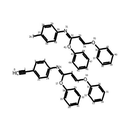 C#Cc1ccc(N=C(C=COc2ccccc2)Oc2ccccc2)cc1.Ic1ccc(N=C(C=COc2ccccc2)Oc2ccccc2)cc1